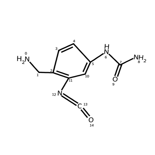 NCc1ccc(NC(N)=O)cc1N=C=O